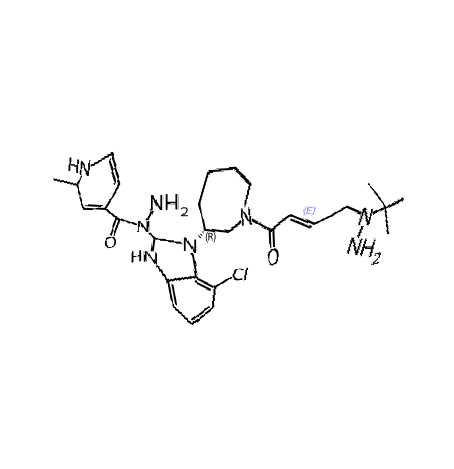 CC1C=C(C(=O)N(N)C2Nc3cccc(Cl)c3N2[C@@H]2CCCCN(C(=O)/C=C/CN(N)C(C)(C)C)C2)C=CN1